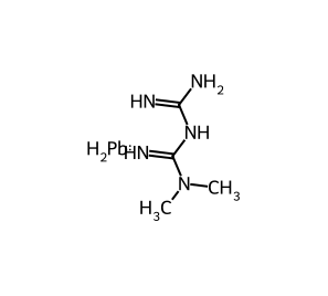 CN(C)C(=N)NC(=N)N.[PbH2]